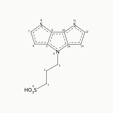 O=S(=O)(O)CCCn1c2ccsc2c2sccc21